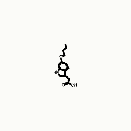 CCCCOc1ccc2c(c1)NCC2CC(=O)O